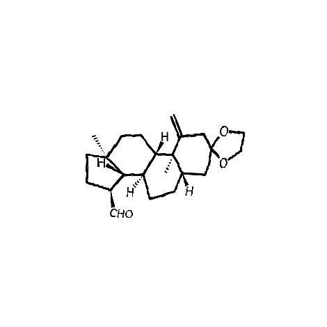 C=C1CC2(C[C@@H]3CC[C@H]4[C@@H]5[C@@H](C=O)CC[C@@]5(C)CC[C@@H]4[C@@]13C)OCCO2